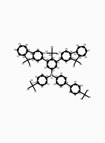 CC(C)(C)c1ccc(-c2ccc(N(c3ccc(C(C)(C)C)cc3)c3cc(-c4ccc5c(c4)C(C)(C)c4ccccc4-5)c(C(C)(C)C)c(-c4ccc5c(c4)C(C)(C)c4ccccc4-5)c3)cc2)cc1